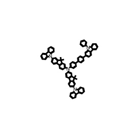 CC1(C)c2cc(N(c3ccc(-c4ccc(-c5ccc6c7ccccc7n(-c7ccccc7)c6c5)cc4)cc3)c3ccc4c(c3)C(C)(C)c3cc(-n5c6ccccc6c6ccccc65)ccc3-4)ccc2-c2ccc(-n3c4ccccc4c4ccccc43)cc21